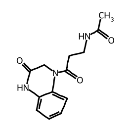 CC(=O)NCCC(=O)N1CC(=O)Nc2ccccc21